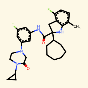 Cc1ccc(F)c2c1NC(C(=O)Nc1cc(F)cc(N3CCN(C4CC4)C(=O)C3)c1)(C1CCCCCC1)C2